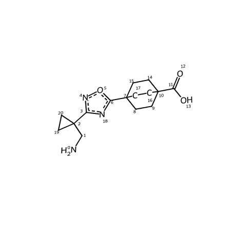 NCC1(c2noc(C34CCC(C(=O)O)(CC3)CC4)n2)CC1